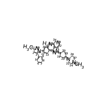 Cc1cc(-c2ccccc2)n(-c2ccc(-c3nn(C4CCC(N5CCN(C)CC5)CC4)c4cncc(N)c34)cc2)n1